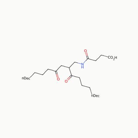 CCCCCCCCCCCCCC(=O)CC(CNC(=O)CCC(=O)O)C(=O)CCCCCCCCCCCCC